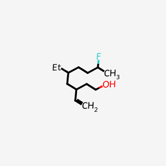 C=CC(CCO)CC(CC)CCC(C)F